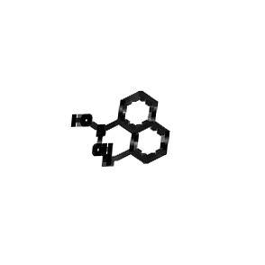 OB(O)c1cccc2cccc(Br)c12